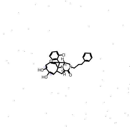 O=C1[C@@H]2CC3/C=C(O)\C(O)=C/C4=CC3(Cc3c(Cl)cccc3Cl)N2[C@H]4CN1CCCc1ccccc1